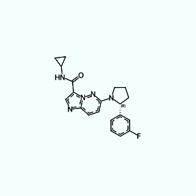 O=C(NC1CC1)c1cnc2ccc(N3CCC[C@@H]3c3cccc(F)c3)nn12